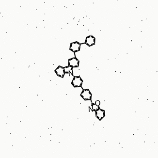 c1ccc(-c2cccc(-c3ccc4c(c3)c3ccccc3n4-c3ccc(-c4ccc(-c5nc6ccccc6o5)cc4)cc3)c2)cc1